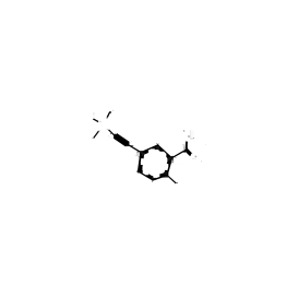 Cc1ccc(C#CS(C)(C)C)cc1C(N)=O